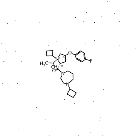 CC(C)[N+]1(C2CCC2)C[C@@H](Oc2ccc(F)cc2)C[C@@H]1C(=O)N1CCCN(C2CCC2)CC1